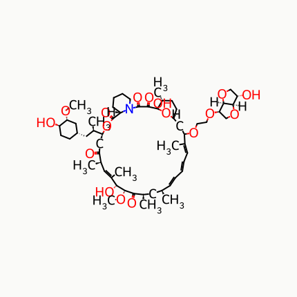 CO[C@@H]1C[C@H](C[C@@H](C)[C@@H]2CC(=O)[C@H](C)/C=C(\C)[C@@H](O)[C@@H](OC)C(=O)[C@H](C)C[C@H](C)/C=C/C=C/C=C(\C)C(OCCO[C@@H]3CO[C@H]4[C@@H]3OC[C@@H]4O)C[C@@H]3CC[C@@H](C)[C@@](O)(O3)C(=O)C(=O)N3CCCC[C@H]3C(=O)O2)CC[C@H]1O